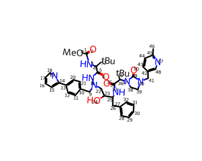 COC(=O)NC(C(=O)NN(Cc1ccc(-c2ccccn2)cc1)CC(O)C(Cc1ccccc1)NC(=O)C(N1CCN(Cc2ccc(C)nc2)C1=O)C(C)(C)C)C(C)(C)C